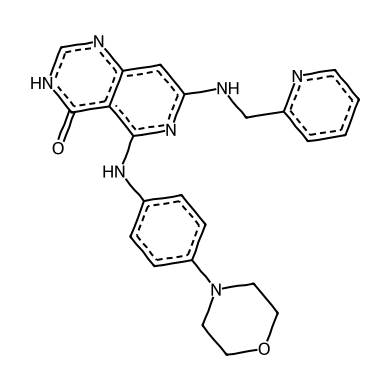 O=c1[nH]cnc2cc(NCc3ccccn3)nc(Nc3ccc(N4CCOCC4)cc3)c12